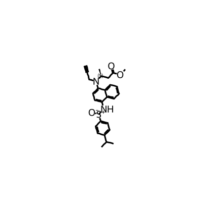 C#CCN(c1ccc(N[S+]([O-])c2ccc(C(C)C)cc2)c2ccccc12)[C@@H](C)CC(=O)OC